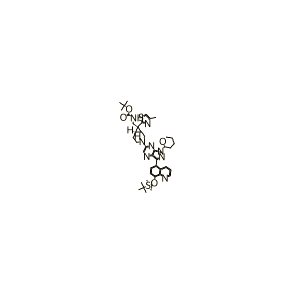 Cc1csc([C@@]2(CNC(=O)OC(C)(C)C)[C@@H]3CCN(c4cnc5c(-c6ccc(O[Si](C)(C)C(C)(C)C)c7ncccc67)nn(C6CCCCO6)c5n4)C[C@@H]32)n1